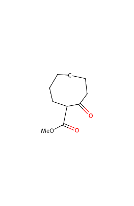 COC(=O)C1CCCCCCC1=O